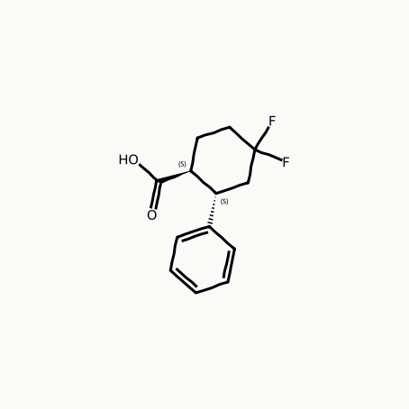 O=C(O)[C@H]1CCC(F)(F)C[C@@H]1c1ccccc1